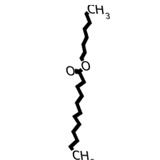 CCCCCCCCCCCC(=O)OCCCCCCCC